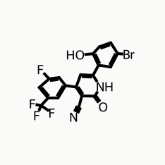 N#Cc1c(-c2cc(F)cc(C(F)(F)F)c2)cc(-c2cc(Br)ccc2O)[nH]c1=O